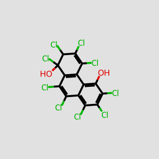 Oc1c(Cl)c(Cl)c(Cl)c2c(Cl)c(Cl)c3c(c12)C(Cl)=C(Cl)C(Cl)C3(O)Cl